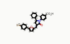 O=C(O)c1ccc(N2C(=O)/C(=C/c3ccc(-c4ccc(Br)cc4)o3)C=C2C2=CC=CCC2)cc1